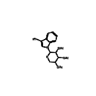 CCCc1cn(C2OCC(OC(C)=O)C(OC(C)=O)C2OC(C)=O)c2ccccc12